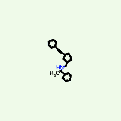 C[C@@H](NCc1cccc(C#Cc2ccccc2)c1)c1ccccc1